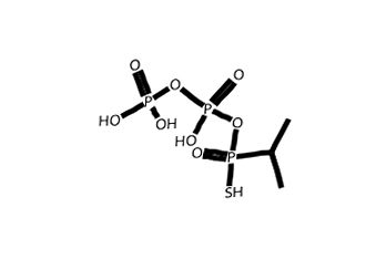 CC(C)P(=O)(S)OP(=O)(O)OP(=O)(O)O